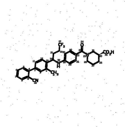 Cc1cc(-c2ccccc2C#N)ccc1C(CCC(F)(F)F)Nc1ccc(C(=O)N2CCC[C@@H](C(=O)O)C2)cc1